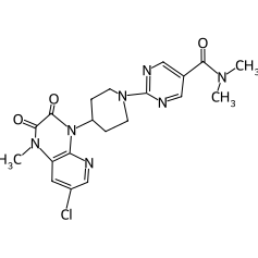 CN(C)C(=O)c1cnc(N2CCC(n3c(=O)c(=O)n(C)c4cc(Cl)cnc43)CC2)nc1